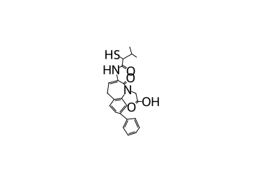 CC(C)C(S)C(=O)NC1=CCc2ccc(-c3ccccc3)cc2N(CC(=O)O)C1=O